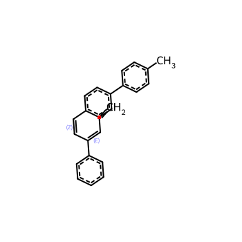 C=C/C=C(\C=C/c1ccc(-c2ccc(C)cc2)cc1)c1ccccc1